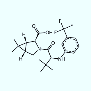 CC(C)(C)[C@H](Nc1cccc(C(F)(F)F)c1)C(=O)N1C[C@H]2[C@@H]([C@H]1C(=O)O)C2(C)C